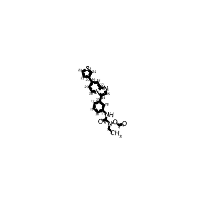 CCN(OC=O)C(=O)Nc1cccc(-c2cnc3cc(-c4ccsc4)ccn23)c1